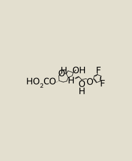 O=C(O)COC[C@H]1CC[C@@H]2[C@@H](C=C[C@@H](O)COc3cc(F)cc(F)c3)[C@H](O)C[C@@H]2OC1